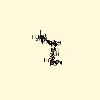 C=c1ccc2c(c1)Oc1cc(N(C)C)ccc1C=2c1ccc(C(=O)NCCNC(=O)CCC(NC(=O)c2ccc(NCc3cnc4nc(N)[nH]c(=O)c4n3)cc2)C(=O)O)cc1C(=O)O